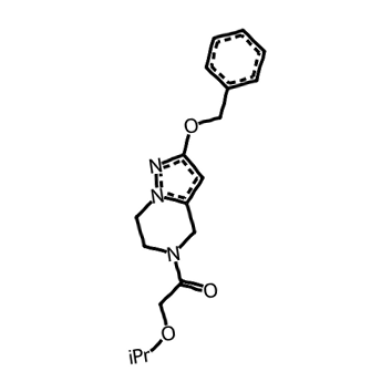 CC(C)OCC(=O)N1CCn2nc(OCc3ccccc3)cc2C1